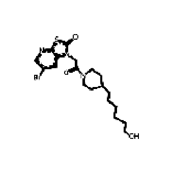 O=C(Cn1c(=O)sc2ncc(Br)cc21)N1CCC(CCCCCCO)CC1